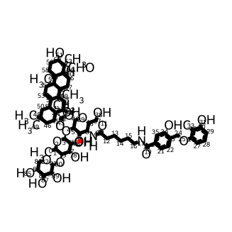 CC1O[C@@H](OC2C(O)[C@@H](NC(=O)CCCCCNC(=O)c3ccc(COc4cccc(O)c4C=O)cc3)C(CO)O[C@H]2OC(=O)[C@]23CCC(C)(C)CC2C2=CCC4C5(C)CC[C@H](O)[C@](C)(C=O)[C@@H]5CCC4(C)[C@]2(C)CC3O)C(O)C(O)[C@H]1O[C@@H]1OC[C@@H](O)C(O)C1O